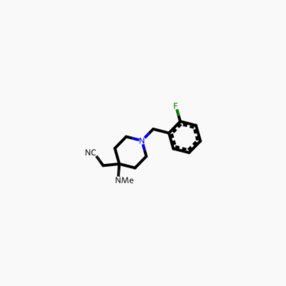 CNC1(CC#N)CCN(Cc2ccccc2F)CC1